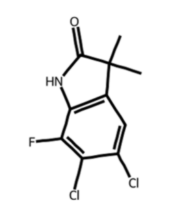 CC1(C)C(=O)Nc2c1cc(Cl)c(Cl)c2F